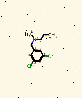 CCCN(C)Cc1cc(Cl)cc(Cl)c1